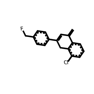 C=C1C=C(c2ccc(CF)cc2)Cc2c(Cl)cccc21